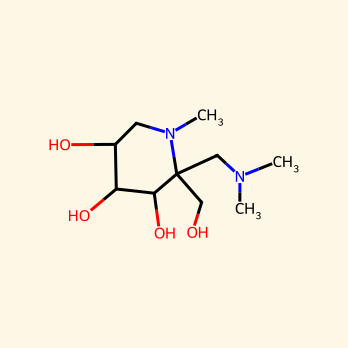 CN(C)CC1(CO)C(O)C(O)C(O)CN1C